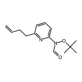 C=CCCc1cccc(N(C=O)OC(C)(C)C)n1